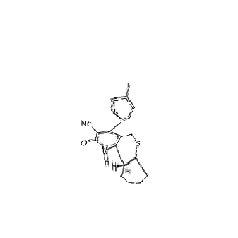 N#Cc1c(-c2ccc(I)cc2)c2c([nH]c1=O)[C@H]1CCCCC1SC2